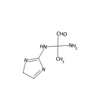 CC(N)(C=O)NC1=NCC=N1